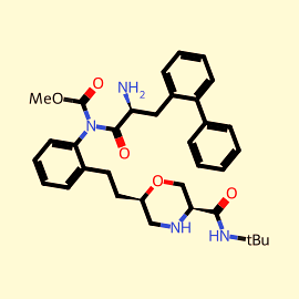 COC(=O)N(C(=O)[C@@H](N)Cc1ccccc1-c1ccccc1)c1ccccc1CC[C@@H]1CN[C@H](C(=O)NC(C)(C)C)CO1